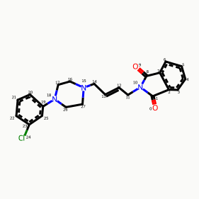 O=C1c2ccccc2C(=O)N1C/C=C/CN1CCN(c2cccc(Cl)c2)CC1